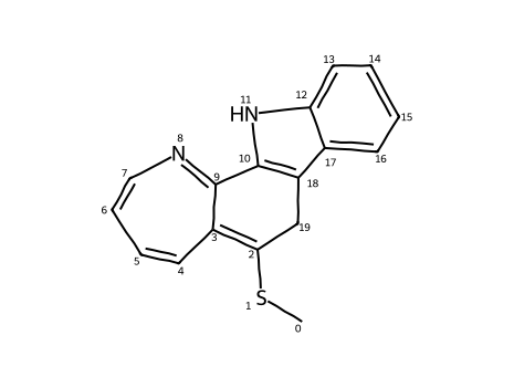 CSC1=C2C=CC=CN=C2c2[nH]c3ccccc3c2C1